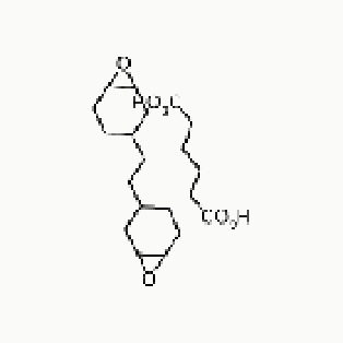 C(CC1CCC2OC2C1)C1CCC2OC2C1.O=C(O)CCCCC(=O)O